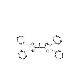 CC(C)(C1=NC(c2ccccc2)C(c2ccccc2)O1)C1=N[C@H](c2ccccc2)[C@H](c2ccccc2)O1